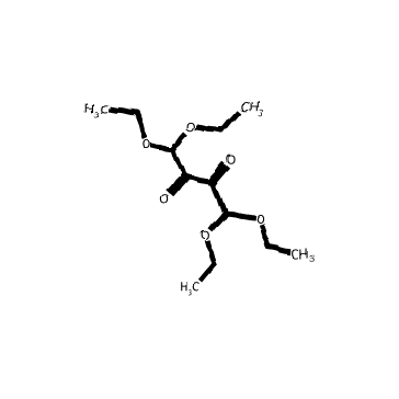 CCOC(OCC)C(=O)C(=O)C(OCC)OCC